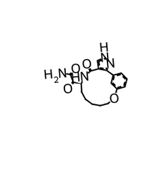 NC(=O)C(=O)[C@@H]1CCCCCOc2cccc(c2)-c2n[nH]cc2C(=O)N1